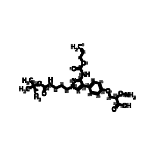 C=CCOC(=O)Nc1nn(CCCNC(=O)OC(C)(C)C)cc1-c1ccc(OCC(ON)C(=O)O)cc1